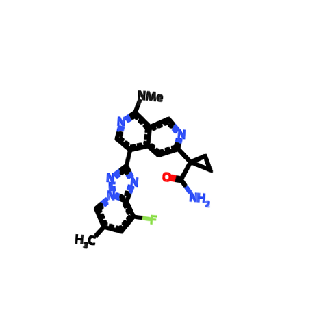 CNc1ncc(-c2nc3c(F)cc(C)cn3n2)c2cc(C3(C(N)=O)CC3)ncc12